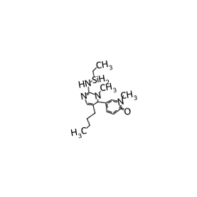 CCCCC1=CN=C(N[SiH2]CC)N(C)C1c1ccc(=O)n(C)c1